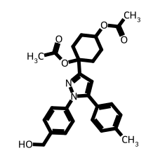 CC(=O)OC1CCC(OC(C)=O)(c2cc(-c3ccc(C)cc3)n(-c3ccc(CO)cc3)n2)CC1